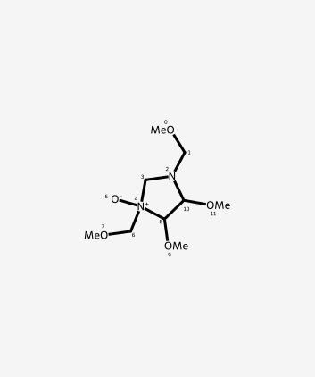 COCN1C[N+]([O-])(COC)C(OC)C1OC